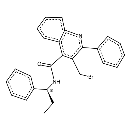 CC[C@H](NC(=O)c1c(CBr)c(-c2ccccc2)nc2ccccc12)c1ccccc1